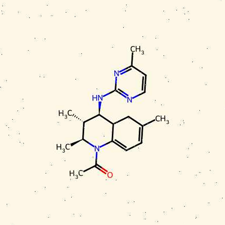 CC(=O)N1C2=CC=C(C)CC2[C@H](Nc2nccc(C)n2)[C@@H](C)[C@@H]1C